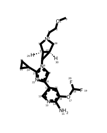 COCCN1C[C@@H]2C(n3cc(-c4cnc(N)c(OC(F)F)c4)nc3C3CC3)[C@@H]2C1